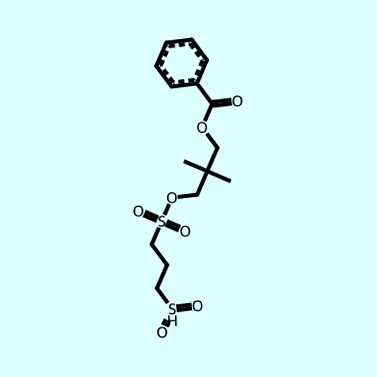 CC(C)(COC(=O)c1ccccc1)COS(=O)(=O)CCC[SH](=O)=O